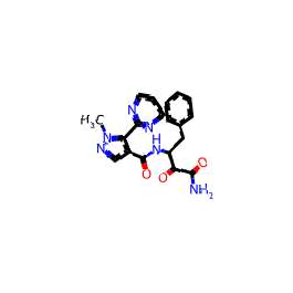 Cn1ncc(C(=O)NC(Cc2ccccc2)C(=O)C(N)=O)c1-c1ncccn1